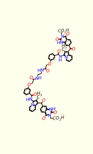 Cc1c(C(=O)c2ccc3c(=O)n(CC(=O)O)c(=O)[nH]c3c2)c2ccccn2c1NC(=O)c1cccc(OCC(=O)NCCNC(=O)COc2cccc(C(=O)Nc3c(C)c(C(=O)c4ccc5c(=O)n(CC(=O)O)c(=O)[nH]c5c4)c4ccccn34)c2)c1